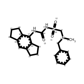 CN(Cc1ccccc1)CS(=O)(=O)NC(=O)Nc1c2c(cc3c1CCC3)CCC2